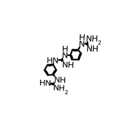 N=C(N)Nc1cccc(NC(=N)Nc2cccc(NC(=N)N)c2)c1